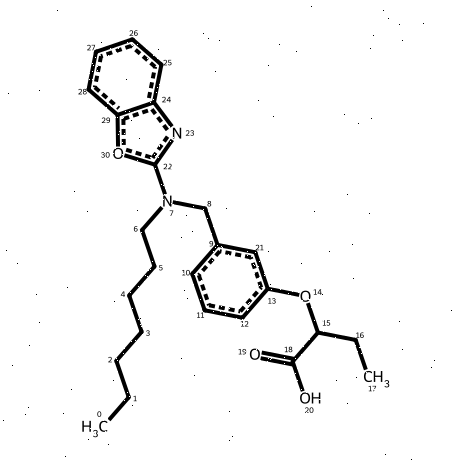 CCCCCCCN(Cc1cccc(OC(CC)C(=O)O)c1)c1nc2ccccc2o1